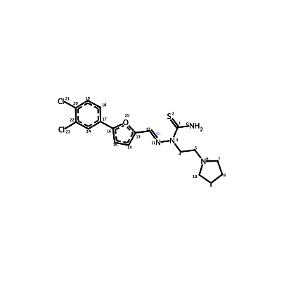 NC(=S)N(CCN1CCCC1)/N=C/c1ccc(-c2ccc(Cl)c(Cl)c2)o1